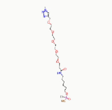 CCP(=O)(S)OCCCCCCNC(=O)CCOCCOCCOCCOCCOCc1cn(C)nn1